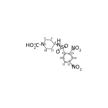 O=C(O)N1CCC(NS(=O)(=O)c2ccc([N+](=O)[O-])cc2[N+](=O)[O-])CC1